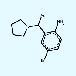 CC(=O)C(c1cc(Br)ccc1N)N1CCCC1